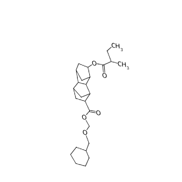 CCC(C)C(=O)OC1CC2CC1C1C3CC(CC3C(=O)OCOCC3CCCCC3)C21